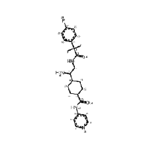 CC(C)(C(=S)NCC(N)C1CCC(C(=O)Nc2ccncc2)CC1)c1ccc(F)cc1